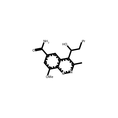 COc1cc(C(N)=O)cc2c(C(O)CC(C)C)c(C)nnc12